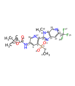 CCS(=O)(=O)c1cc(NC(=O)OC(C)(C)C)cnc1-c1nc2cc(C(F)(F)F)ncc2n1C